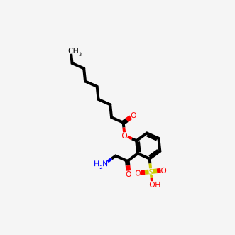 CCCCCCCCC(=O)Oc1cccc(S(=O)(=O)O)c1C(=O)CN